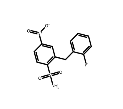 NS(=O)(=O)c1ccc([N+](=O)[O-])cc1Cc1ccccc1F